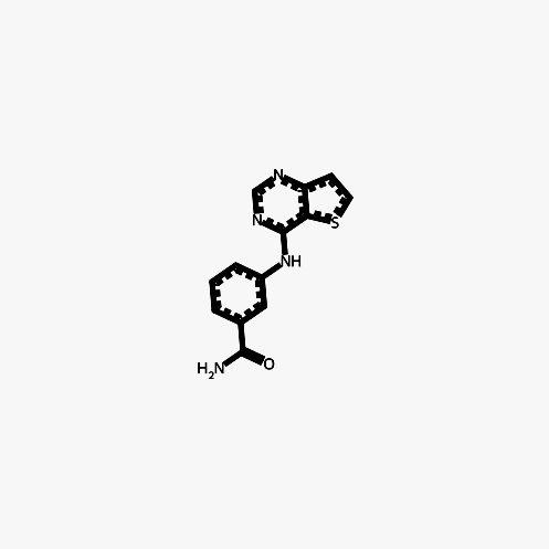 NC(=O)c1cccc(Nc2ncnc3ccsc23)c1